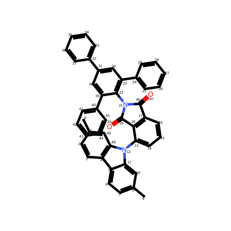 Cc1ccc2c3ccc(C)cc3n(-c3cccc4c3C(=O)N(c3c(-c5ccccc5)cc(-c5ccccc5)cc3-c3ccccc3)C4=O)c2c1